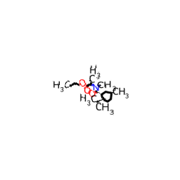 CCCCOC(=O)C(C)N(C)C(=O)[C@@H]1C[C@H](C)CC[C@H]1C(C)C